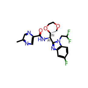 Cc1cnc(C(=O)N[C@H](c2nc3cc(F)ccc3n2CC(F)F)[C@H]2COCCO2)cn1